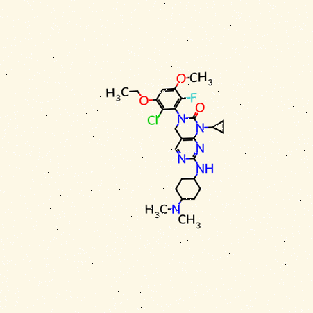 CCOc1cc(OC)c(F)c(N2Cc3cnc(NC4CCC(N(C)C)CC4)nc3N(C3CC3)C2=O)c1Cl